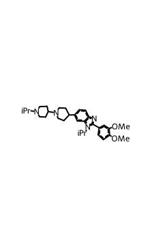 COc1ccc(-c2nc3ccc(C4CCN(C5CCN(C(C)C)CC5)CC4)cc3n2C(C)C)cc1OC